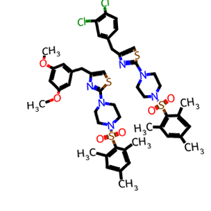 COc1cc(Cc2csc(N3CCN(S(=O)(=O)c4c(C)cc(C)cc4C)CC3)n2)cc(OC)c1.Cc1cc(C)c(S(=O)(=O)N2CCN(c3nc(Cc4ccc(Cl)c(Cl)c4)cs3)CC2)c(C)c1